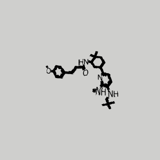 CNc1nc(C2CCC(C)(C)C(NC(=O)CCc3ccc(OC)cc3)C2)ccc1NCC(C)(C)C